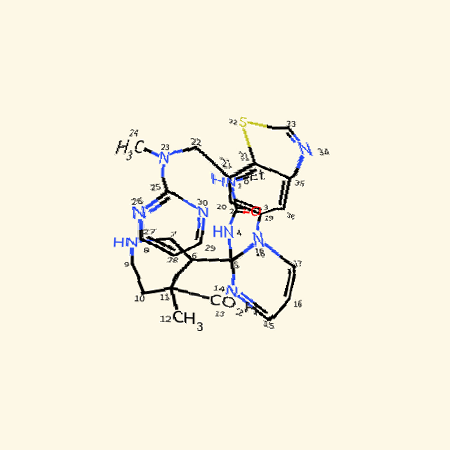 CCNC(=O)NC1(C2CNCCC2(C)C(=O)O)N=CC=CN1c1cc(CN(C)c2ncccn2)c2scnc2c1